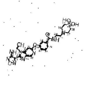 CCn1c(-c2nonc2N)nc2cnc(Oc3cccc(C(=O)NCCN4CCS(O)(O)CC4)c3)cc21